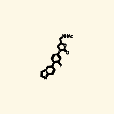 CC(=O)NCC1CN(c2ccc(-c3ccc4nccn4c3)c(F)c2)C(=O)O1